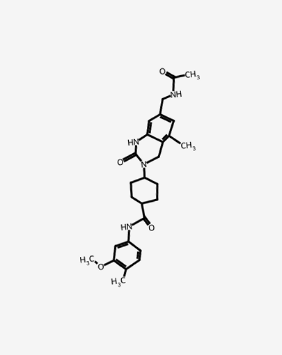 COc1cc(NC(=O)C2CCC(N3Cc4c(C)cc(CNC(C)=O)cc4NC3=O)CC2)ccc1C